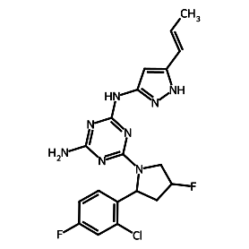 C/C=C/c1cc(Nc2nc(N)nc(N3CC(F)CC3c3ccc(F)cc3Cl)n2)n[nH]1